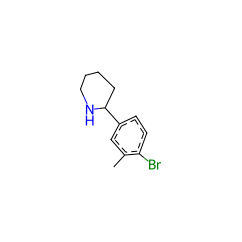 Cc1cc(C2CCCCN2)ccc1Br